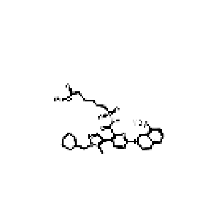 Cc1c(-c2ccc(N3CCc4cccc(C(=O)O)c4C3)nc2C(=O)NS(=O)(=O)CCCCCC(=O)OC(C)(C)C)cnn1CC1CCCCC1